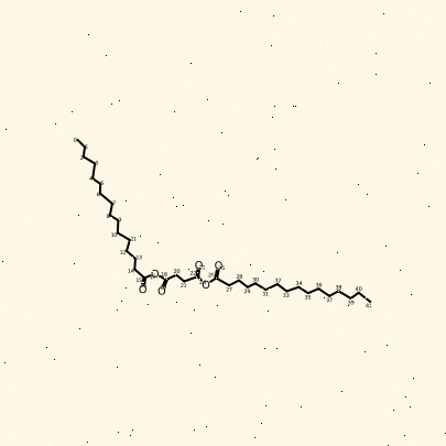 CCCCCCCCCCCCCCCC(=O)OC(=O)CCC(=O)OC(=O)CCCCCCCCCCCCCCC